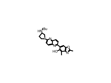 Cc1nc2c(C)c(O)c(-c3ccc4nc(N5CCC(NC(C)(C)C)C5)ccc4n3)cc2o1